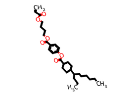 C=CC(=O)OCCCCOC(=O)c1ccc(OC(=O)C2CCC(C(CCC)CCCCCC)CC2)cc1